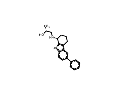 C[C@@H](O)CN[C@H]1CCCc2c1[nH]c1ccc(-c3ccccc3)cc21